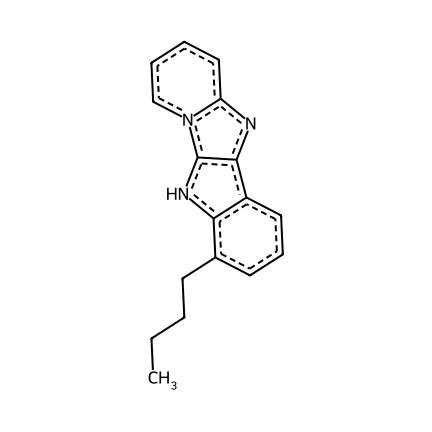 CCCCc1cccc2c1[nH]c1c2nc2ccccn21